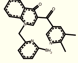 Bc1cccc(Cn2cc(C(=O)c3cnc(C)c(C)c3)c(=O)c3ccccc32)n1